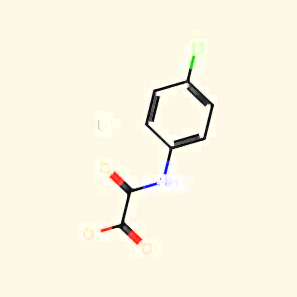 O=C([O-])C(=O)Nc1ccc(Cl)cc1.[Li+]